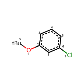 CC(C)(C)Oc1cccc(Cl)c1